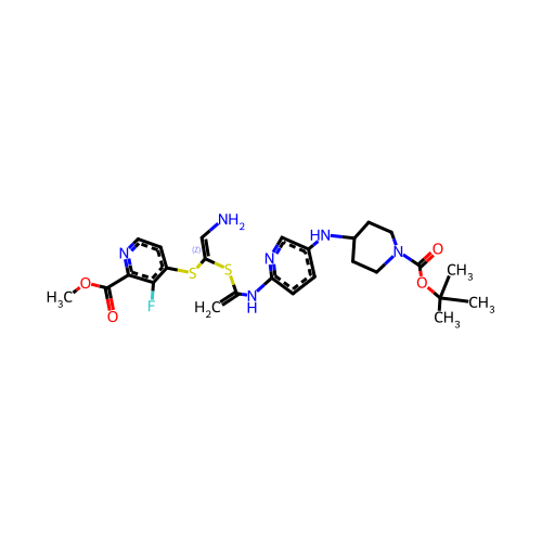 C=C(Nc1ccc(NC2CCN(C(=O)OC(C)(C)C)CC2)cn1)S/C(=C\N)Sc1ccnc(C(=O)OC)c1F